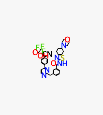 N#Cc1ccc(-c2ccnc(Cc3cccc(C(=O)Nc4nc5c(s4)CC(N4CCOCC4)CC5)c3)n2)cc1.O=C(O)C(F)(F)F